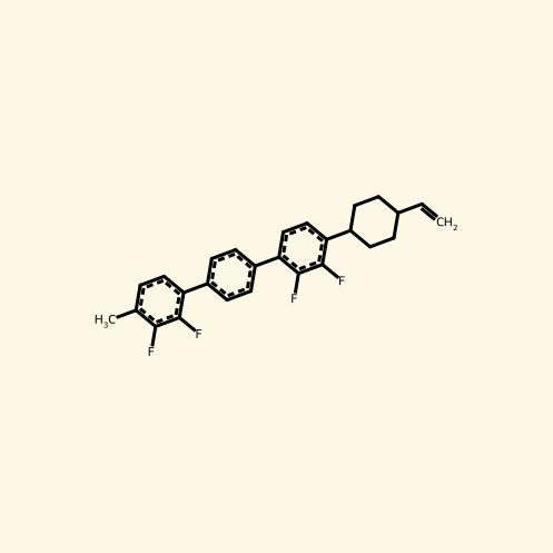 C=CC1CCC(c2ccc(-c3ccc(-c4ccc(C)c(F)c4F)cc3)c(F)c2F)CC1